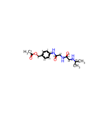 CC(=O)OCc1ccc(NC(=O)CNC(=O)CNC(C)C)cc1